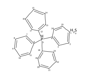 S.c1ccc([PH](c2ccccc2)(c2ccccc2)c2ccccc2)cc1